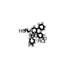 Cl.O=S(=O)(N1CCC(F)(F)CC1)N1C(c2ccc(Cl)cc2)C(c2ccccc2)CCN1C=NO